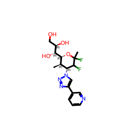 C[C@H]1[C@H]([C@H](O)[C@H](O)CO)OC(C)(F)C(F)[C@@H]1n1cc(-c2cccnc2)nn1